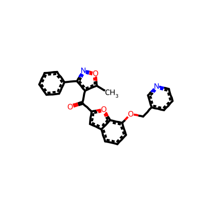 Cc1onc(-c2ccccc2)c1C(=O)c1cc2cccc(OCc3cccnc3)c2o1